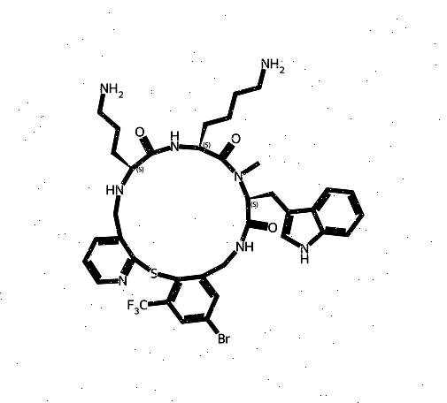 CN1C(=O)[C@H](CCCCN)NC(=O)[C@H](CCCN)NCc2cccnc2Sc2c(cc(Br)cc2C(F)(F)F)CNC(=O)[C@@H]1Cc1c[nH]c2ccccc12